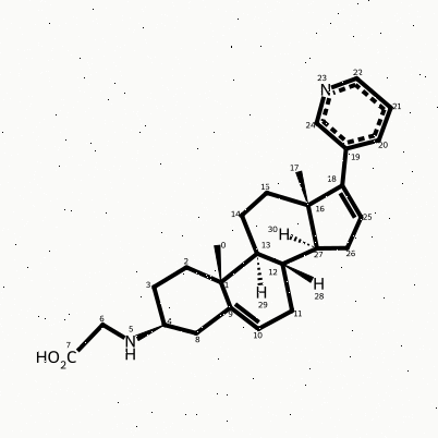 C[C@]12CC[C@H](NCC(=O)O)CC1=CC[C@@H]1[C@@H]2CC[C@]2(C)C(c3cccnc3)=CC[C@@H]12